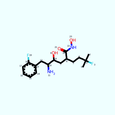 CC(C)(F)CCC(CC(O)C(N)Cc1ccccc1F)C(=O)NO